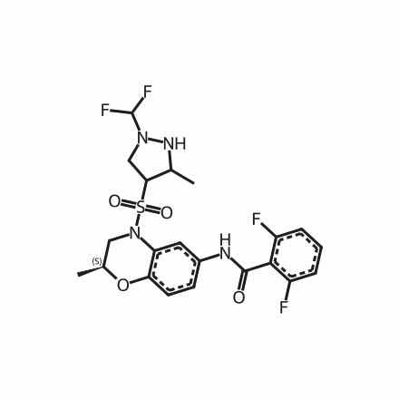 CC1NN(C(F)F)CC1S(=O)(=O)N1C[C@H](C)Oc2ccc(NC(=O)c3c(F)cccc3F)cc21